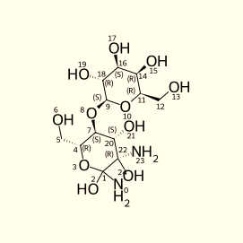 NC1(O)O[C@H](CO)[C@@H](O[C@@H]2O[C@H](CO)[C@H](O)[C@H](O)[C@H]2O)[C@H](O)[C@@]1(N)O